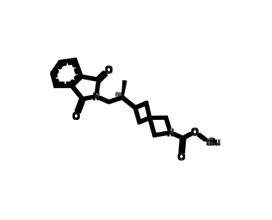 C[C@H](CN1C(=O)c2ccccc2C1=O)C1CC2(C1)CN(C(=O)OC(C)(C)C)C2